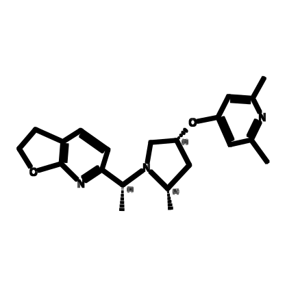 Cc1cc(O[C@@H]2C[C@H](C)N([C@H](C)c3ccc4c(n3)OCC4)C2)cc(C)n1